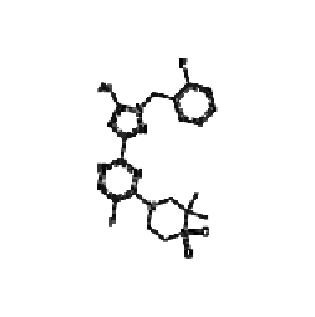 CC(=O)c1cc(-c2ncc(F)c(N3CCS(=O)(=O)C(C)(C)C3)n2)nn1Cc1ccccc1F